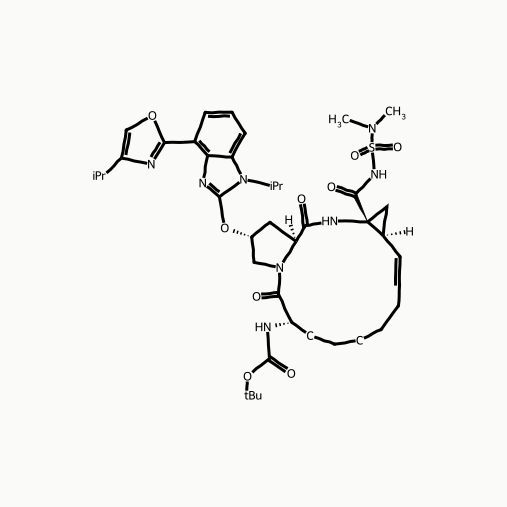 CC(C)c1coc(-c2cccc3c2nc(O[C@@H]2C[C@H]4C(=O)N[C@]5(C(=O)NS(=O)(=O)N(C)C)C[C@H]5/C=C\CCCCC[C@H](NC(=O)OC(C)(C)C)C(=O)N4C2)n3C(C)C)n1